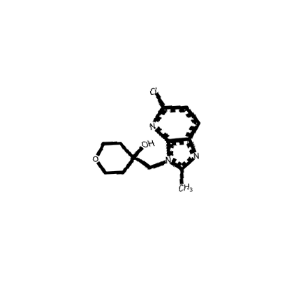 Cc1nc2ccc(Cl)nc2n1CC1(O)CCOCC1